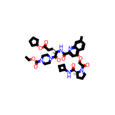 CCOC(=O)N1CCN(C(=O)[C@H](CCC(=O)OC2CCCC2)NC(=O)c2cc(OCC(=O)N3CCC[C@H]3C(=O)NC3CCC3)c3ccc(C)cc3n2)CC1